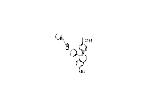 Cl.Oc1ccc2c(c1)CCN(c1ccc(F)cc1)C2c1ccc(OOCCN2CCCC2)cc1